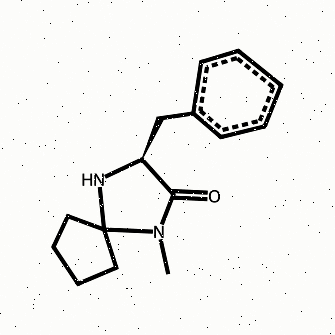 CN1C(=O)[C@H](Cc2ccccc2)NC12CCCC2